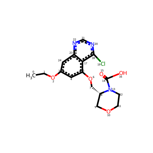 CCOc1cc(OC[C@H]2COCCN2C(=O)O)c2c(Cl)ncnc2c1